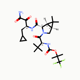 CC(C)(C)[C@H](NC(=O)OC(C)(C)C(F)(F)F)C(=O)N1C[C@H]2[C@@H]([C@H]1C(=O)N[C@@H](CC1CC1)C(=O)C(N)=O)C2(C)C